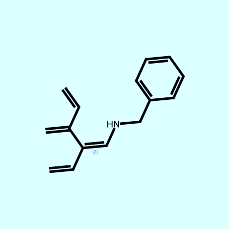 C=CC(=C)/C(C=C)=C\NCc1ccccc1